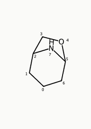 C1CC2COC(C1)N2